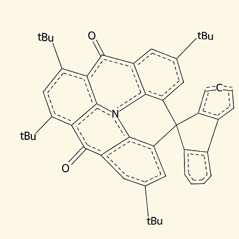 CC(C)(C)c1cc2c3c(c1)c(=O)c1c(C(C)(C)C)cc(C(C)(C)C)c4c(=O)c5cc(C(C)(C)C)cc(c5n3c14)C21c2ccccc2-c2ccccc21